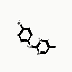 Cc1cnc(Nc2ccc(C#N)cc2)nc1